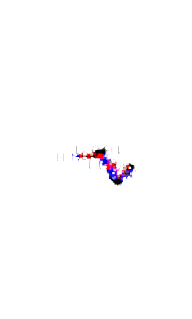 Cc1c(-c2ccc(N3CCc4cccc(C(=O)Nc5nc6ccccc6s5)c4C3)nc2C(=O)O)cnn1CC12CC3(C)CC(C)(C1)CC(OCCOCCN)(C3)C2